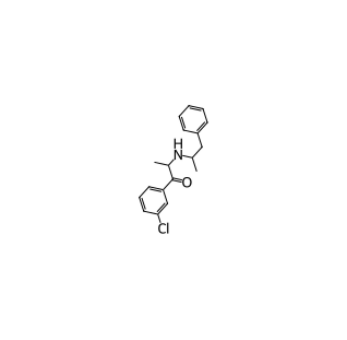 CC(Cc1ccccc1)NC(C)C(=O)c1cccc(Cl)c1